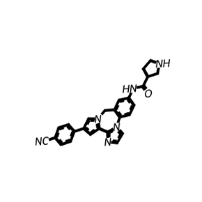 N#Cc1ccc(-c2cc3n(c2)Cc2cc(NC(=O)C4CCNC4)ccc2-n2ccnc2-3)cc1